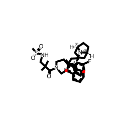 Cc1nc2ccccc2n1C1C[C@H]2CC[C@@H](C1)N2CCC1(c2cccc(F)c2)CCN(C(=O)C(C)(C)CNS(C)(=O)=O)CC1